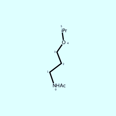 CC(=O)NCCCOC(C)C